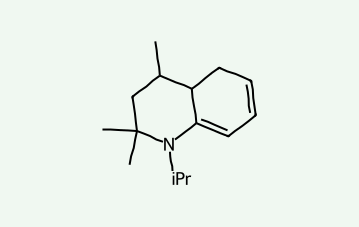 CC1CC(C)(C)N(C(C)C)C2=CC=CCC21